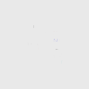 CC(=O)c1cc(C)cc2c(=O)[nH]c(-c3ccc(F)cc3)cc12